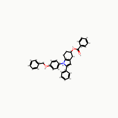 O=C(OC1CCc2c(cc(-c3ccccc3)n2-c2ccc(OCc3ccccc3)cc2)C1)c1ccccc1